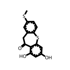 CSc1ccc2c(c1)CC(=O)c1c(O)cc(O)cc1S2